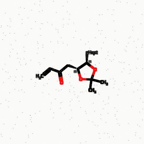 C=CC(=O)C[C@H]1OC(C)(C)O[C@@H]1CCCCCCC